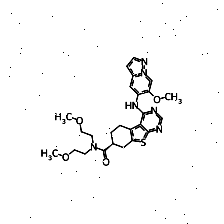 COCCN(CCOC)C(=O)[C@H]1CCc2c(sc3ncnc(Nc4cc5ccnn5cc4OC)c23)C1